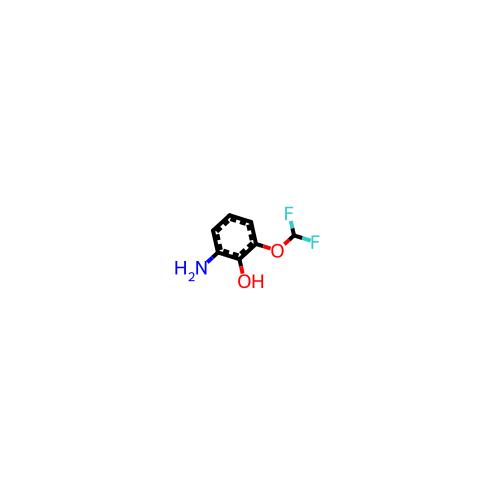 Nc1cccc(OC(F)F)c1O